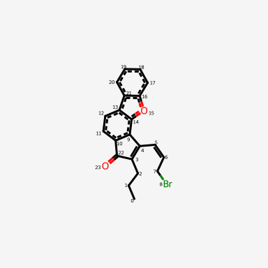 CCCC1=C(/C=C\CBr)c2c(ccc3c2oc2ccccc23)C1=O